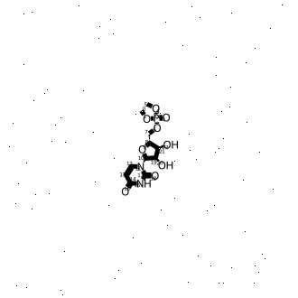 COP(=O)(OC)OC[C@H]1O[C@@H](n2ccc(=O)[nH]c2=O)[C@H](O)[C@@H]1O